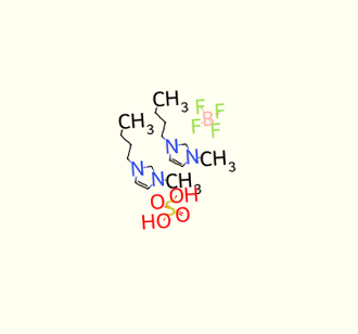 CCCCN1C=CN(C)C1.CCCCN1C=CN(C)C1.F[B-](F)(F)F.O=S(=O)(O)O